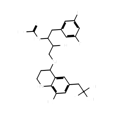 CC(=O)NC(Cc1cc(F)cc(F)c1)C(O)CNC1CCNc2c(C)cc(CC(C)(C)O)cc21